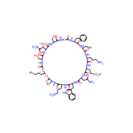 CC(C)CCCC1CC(=O)NC(CO)C(=O)NC(C(O)C(N)=O)C(=O)NC(CO)C(=O)NCC(=O)N(C)C(Cc2ccccc2)C(=O)NC(CC(C)C)C(=O)NC(CCCN)C(=O)NC(CCC(=O)O)C(=O)NC(CC(N)=O)C(=O)NC(Cc2c[nH]c3ccccc23)C(=O)NC(CCCN)C(=O)N(C)C(C(C)C)C(=O)O1